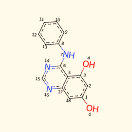 Oc1cc(O)c2c(Nc3ccccc3)ncnc2c1